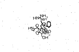 N=C(N)NCCC[C@@](C=O)(N(C(=O)C1CCN1)C(=O)[C@H](N)CO)S(=O)(=O)c1ccccc1